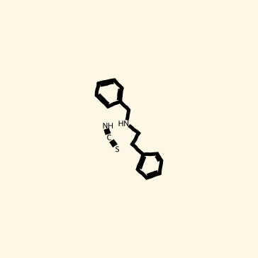 N=C=S.c1ccc(CCNCc2ccccc2)cc1